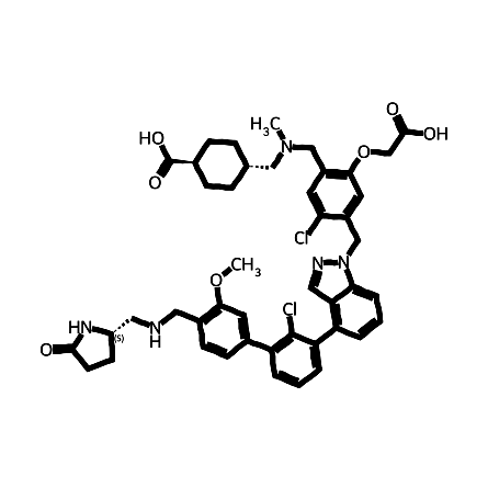 COc1cc(-c2cccc(-c3cccc4c3cnn4Cc3cc(OCC(=O)O)c(CN(C)C[C@H]4CC[C@H](C(=O)O)CC4)cc3Cl)c2Cl)ccc1CNC[C@@H]1CCC(=O)N1